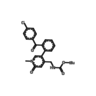 Cn1cc(-c2ccccc2C(=O)c2ccc(Cl)cc2)c(CNC(=O)OC(C)(C)C)cc1=O